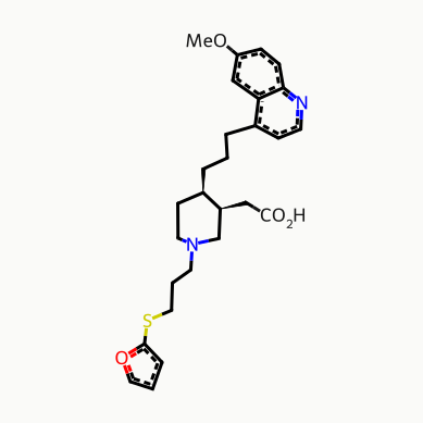 COc1ccc2nccc(CCC[C@@H]3CCN(CCCSc4ccco4)C[C@@H]3CC(=O)O)c2c1